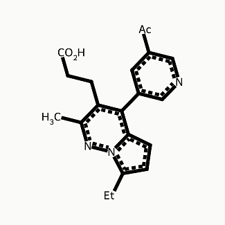 CCc1ccc2c(-c3cncc(C(C)=O)c3)c(CCC(=O)O)c(C)nn12